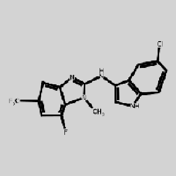 Cn1c(Nc2c[nH]c3ccc(Cl)cc23)nc2cc(C(F)(F)F)cc(F)c21